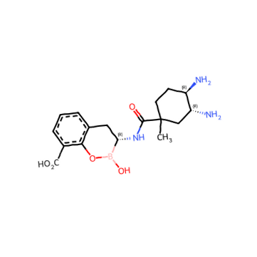 CC1(C(=O)N[C@H]2Cc3cccc(C(=O)O)c3OB2O)CC[C@@H](N)[C@H](N)C1